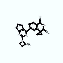 C[C@H]1CCN1c1nc2c(c(-c3ccc4c(c3)C3(CC3)C(=O)NC4=O)n1)CCC2